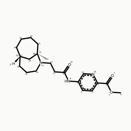 COC(=O)c1ccc(NC(=O)CCN2CCC[C@@H]3CCCC[C@]2(C)C3)cn1